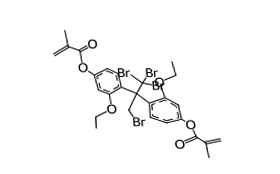 C=C(C)C(=O)Oc1ccc(C(CBr)(c2ccc(OC(=O)C(=C)C)cc2OCC)C(Br)(Br)Br)c(OCC)c1